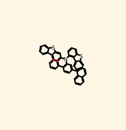 c1ccc(-c2ccc(-c3cccc4ccccc34)cc2N(c2ccc3c(c2)sc2ccccc23)c2cccc3sc4ccccc4c23)cc1